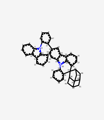 c1ccc(-n2c3ccccc3c3ccccc32)c(-c2ccc3c(c2)c2cccc4c2n3-c2ccccc2C42C3CC4CC(C3)CC2C4)c1